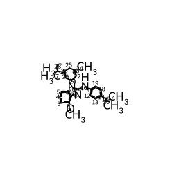 COc1cccc2c1nc(Nc1ccc(C(C)C)cc1)n2[C@H]1C[C@@H](C)CC(C)(C)C1